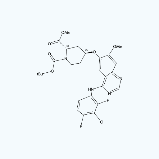 COC(=O)[C@@H]1C[C@@H](Oc2cc3c(Nc4ccc(F)c(Cl)c4F)ncnc3cc2OC)CCN1C(=O)OC(C)(C)C